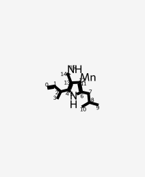 C=CC(C)c1[nH]c(CC(C)C)[c]([Mn])c1C=N